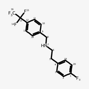 Fc1ccc(CCNCc2ccc(C(F)(F)C(F)(F)F)cc2)cc1